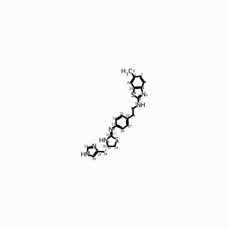 Cc1ccc2nc(NCCc3ccc(/N=C4/N[C@@H](Cc5c[nH]cn5)CS4)cc3)sc2c1